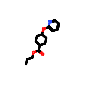 CCCOC(=O)C1CCC(Oc2ccccn2)CC1